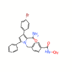 NC(=O)c1c(-c2ccc(Br)cc2)cc(-c2ccccc2)n1Cc1ccc(C(=O)NO)cc1